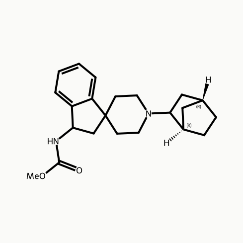 COC(=O)NC1CC2(CCN(C3C[C@@H]4CC[C@@H]3C4)CC2)c2ccccc21